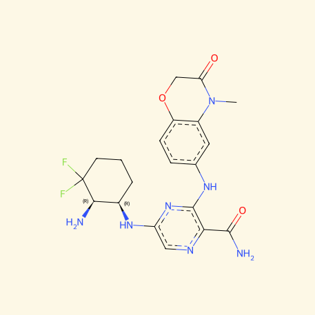 CN1C(=O)COc2ccc(Nc3nc(N[C@@H]4CCCC(F)(F)[C@@H]4N)cnc3C(N)=O)cc21